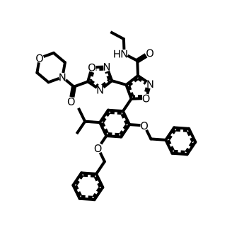 CCNC(=O)c1noc(-c2cc(C(C)C)c(OCc3ccccc3)cc2OCc2ccccc2)c1-c1noc(C(=O)N2CCOCC2)n1